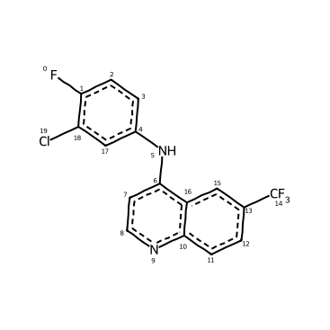 Fc1ccc(Nc2ccnc3ccc(C(F)(F)F)cc23)cc1Cl